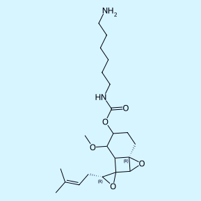 COC1C(OC(=O)NCCCCCCN)CC[C@]23OC2C2(O[C@@H]2CC=C(C)C)C13